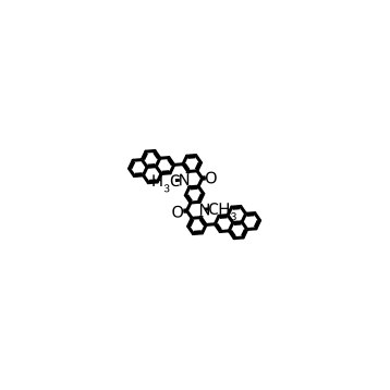 Cn1c2cc3c(=O)c4cccc(-c5cc6ccc7cccc8ccc(c5)c6c78)c4n(C)c3cc2c(=O)c2cccc(-c3cc4ccc5cccc6ccc(c3)c4c56)c21